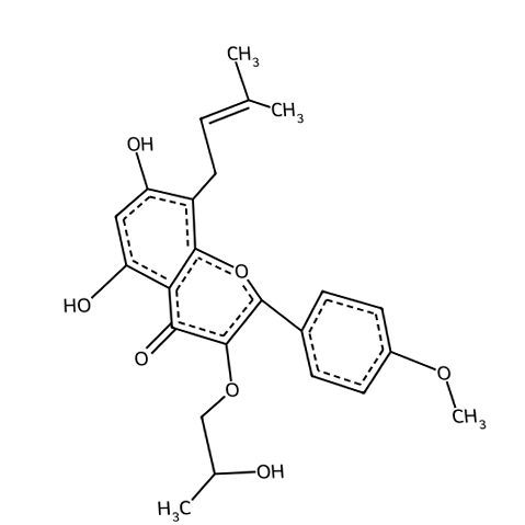 COc1ccc(-c2oc3c(CC=C(C)C)c(O)cc(O)c3c(=O)c2OCC(C)O)cc1